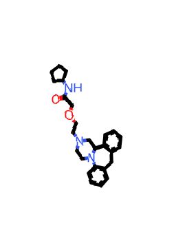 O=C(COCCN1CCN2c3ccccc3Cc3ccccc3C2C1)NC1CCCC1